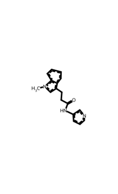 Cn1cc(CCC(=O)Nc2cccnc2)c2ccccc21